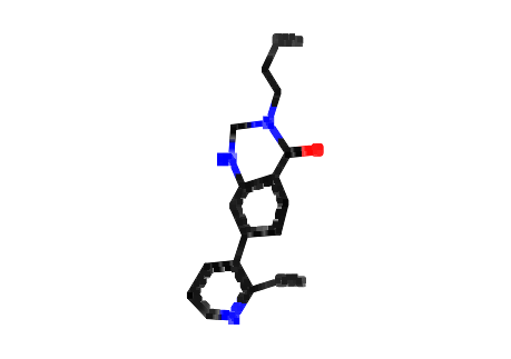 COCCN1CNc2cc(-c3cccnc3OC)ccc2C1=O